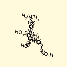 CN(C)CCS(=O)(=O)c1ccc(N=Nc2c(S(=O)(=O)O)cc3cc(SOOO)c(N=Nc4ccc(SC#COOS(=O)(=O)O)cc4)c(N)c3c2O)cc1